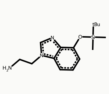 CC(C)(C)[Si](C)(C)Oc1cccc2c1ncn2CCN